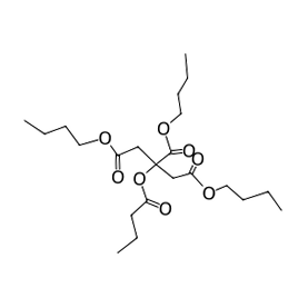 CCCCOC(=O)CC(CC(=O)OCCCC)(OC(=O)CCC)C(=O)OCCCC